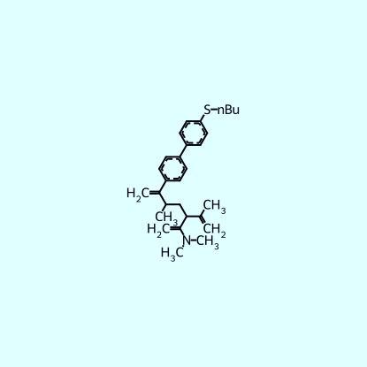 C=C(c1ccc(-c2ccc(SCCCC)cc2)cc1)C(C)CC(C(=C)C)C(=C)N(C)C